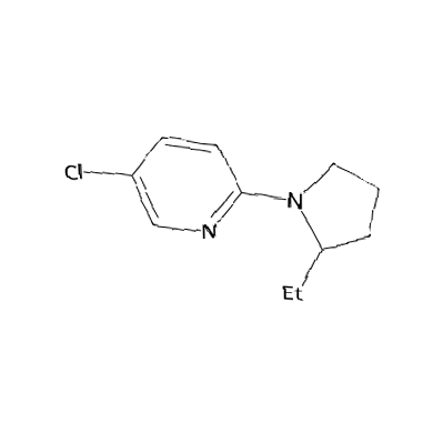 CCC1CCCN1c1ccc(Cl)cn1